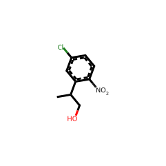 CC(CO)c1cc(Cl)ccc1[N+](=O)[O-]